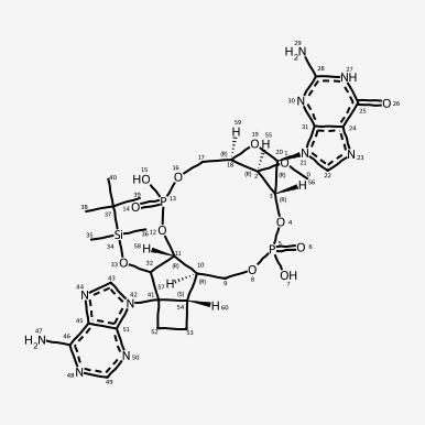 CO[C@H]1[C@H]2OP(=O)(O)OC[C@@H]3[C@@H](OP(=O)(O)OC[C@H]1O[C@H]2n1cnc2c(=O)[nH]c(N)nc21)C(O[Si](C)(C)C(C)(C)C)C1(n2cnc4c(N)ncnc42)CC[C@@H]31